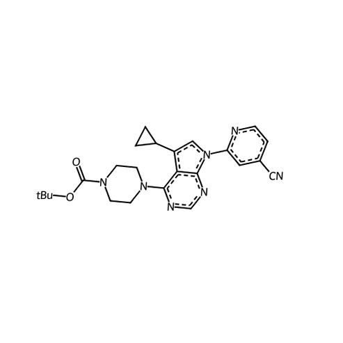 CC(C)(C)OC(=O)N1CCN(c2ncnc3c2c(C2CC2)cn3-c2cc(C#N)ccn2)CC1